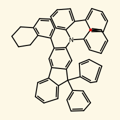 c1ccc(-c2ccccc2N(c2ccccc2)c2cc3c(cc2-c2cccc4c2CCCC4)-c2ccccc2C3(c2ccccc2)c2ccccc2)cc1